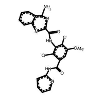 COc1cc(C(=O)Nc2ccccn2)c(Cl)c(NC(=O)c2nc(N)c3ccccc3n2)c1Cl